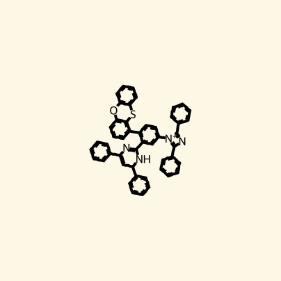 C1=C(c2ccccc2)N=C(c2cc([N+]3=C(c4ccccc4)N=C3c3ccccc3)ccc2-c2cccc3c2Sc2ccccc2O3)NC1c1ccccc1